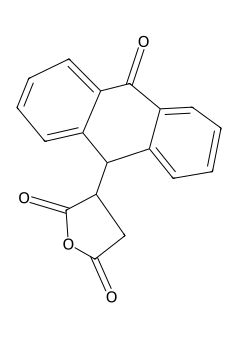 O=C1CC(C2c3ccccc3C(=O)c3ccccc32)C(=O)O1